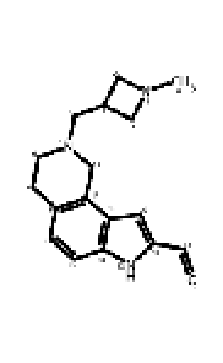 CN1CC(CN2CCc3ccc4[nH]c(C=O)cc4c3C2)C1